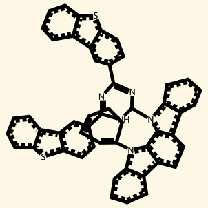 C1=CCCC(n2c3ccccc3c3ccc4c5ccccc5n(C5N=C(c6ccc7sc8ccccc8c7c6)N=C(c6ccc7sc8ccccc8c7c6)N5)c4c32)=C1